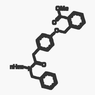 CCCCCCN(Cc1ccccc1)C(=O)Cc1ccc(OCc2ccccc2C(=O)OC)cc1